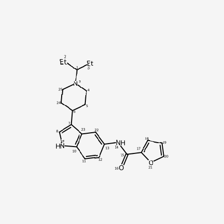 CCC(CC)N1CCC(c2c[nH]c3ccc(NC(=O)c4ccco4)cc23)CC1